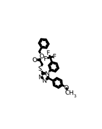 COc1ccc(-c2nnc(SCC(=O)OCc3ccccc3)n2-c2cccc(C(F)(F)F)c2)cc1